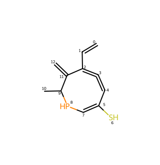 C=CC1=C=C/C(S)=C\PC(C)C1=C